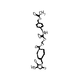 CC(=O)OCc1ccc(NC(=O)OCOC(=O)C2CCC(CN3C(=O)CC(S)C3=O)CC2)cc1